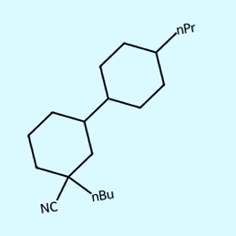 CCCCC1(C#N)CCCC(C2CCC(CCC)CC2)C1